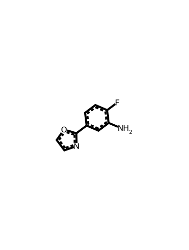 Nc1cc(-c2ncco2)ccc1F